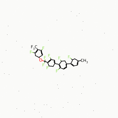 CC1=CC=C(C2=C=CC(F)=C(C3=CC(F)=C(C(F)(F)OC4C=C(F)C(C(F)(F)F)=C(F)C4)C(F)C3)C(F)C2)C(F)C1